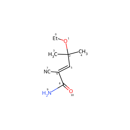 CCOC(C)(C)/C=C(\C#N)C(N)=O